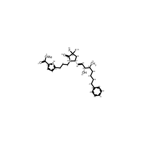 COC(=O)c1ccc(CCCN2C(=O)C(F)(F)C[C@@H]2/C=C/[C@@H](O)[C@@H](C)CCCCc2ccccc2)s1